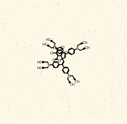 C#CCN(CC#C)c1ccc(C(=CC2(C=C(c3ccc(N(CC#C)CC#C)cc3)c3ccc(N(CC#C)CC#C)cc3)OC(=O)c3c(Cl)c(Cl)c(Cl)c(Cl)c32)c2ccc(N(CC#C)CC#C)cc2)cc1